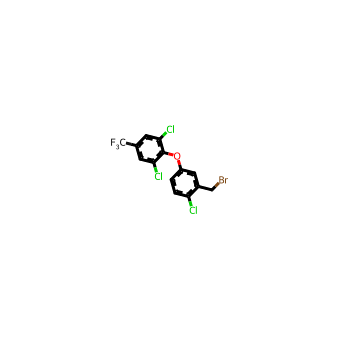 FC(F)(F)c1cc(Cl)c(Oc2ccc(Cl)c(CBr)c2)c(Cl)c1